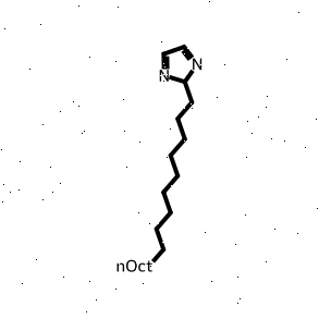 CCCCCCCCCCCCCCCCCC1N=CC=N1